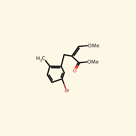 CO/C=C(/Cc1cc(Br)ccc1C)C(=O)OC